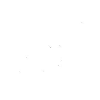 COc1cc(F)cc(-c2cccc3[nH]c(-c4n[nH]c5cnc(-c6cncc(N(C)C)c6)cc45)nc23)c1